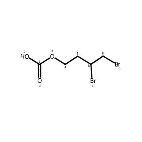 O=C(O)OCCC(Br)CBr